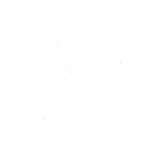 NC(=O)c1ccccc1CN(C(=O)c1ccccn1)[C@@H]1CCc2c(F)cc(F)cc21